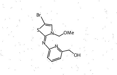 COCn1cc(Br)sc1=Nc1cccc(CO)n1